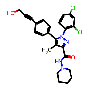 Cc1c(C(=O)NN2CCCCC2)nn(-c2ccc(Cl)cc2Cl)c1-c1ccc(C#CCO)cc1